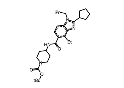 CCc1c(C(=O)NC2CCN(C(=O)OC(C)(C)C)CC2)ccc2c1nc(C1CCCC1)n2CC(C)C